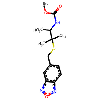 CC(C)(C)OC(=O)NC(C(=O)O)C(C)(C)SCc1ccc2nonc2c1